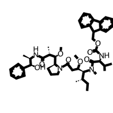 CC[C@H](C)[C@@H](C(CC(=O)N1CCC[C@H]1[C@H](OC)[C@@H](C)C(=O)N[C@H](C)[C@@H](O)c1ccccc1)OC)N(C)C(=O)[C@@H](NC(=O)OCC1c2ccccc2-c2ccccc21)C(C)C